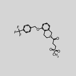 CS(=O)(=O)CCC(=O)N1CCc2c(cccc2OCc2ccc(C(F)(F)F)cc2)C1